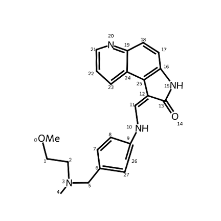 COCCN(C)Cc1ccc(N/C=C2\C(=O)Nc3ccc4ncccc4c32)cc1